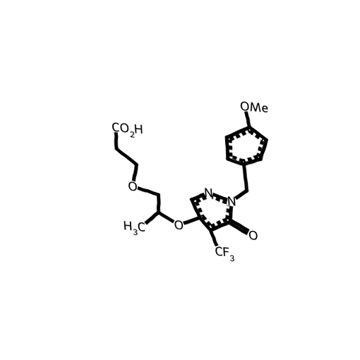 COc1ccc(Cn2ncc(OC(C)COCCC(=O)O)c(C(F)(F)F)c2=O)cc1